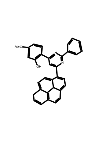 COc1ccc(-c2cc(C3=CC=C4C=CC5=C6C(=CC=C3C46)CC=C5)nc(-c3ccccc3)n2)c(O)c1